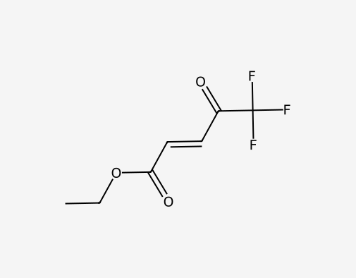 CCOC(=O)/C=C/C(=O)C(F)(F)F